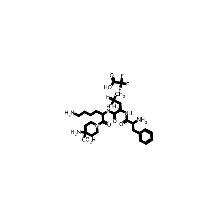 CC(C)(F)CC(NC(=O)C(N)Cc1ccccc1)C(=O)NC(CCCCN)C(=O)N1CCC(N)(C(=O)O)CC1.O=C(O)C(F)(F)F